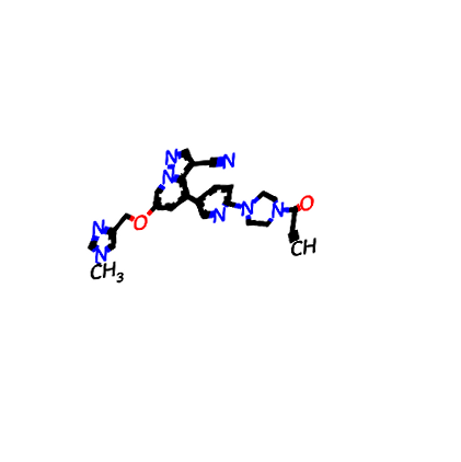 C#CC(=O)N1CCN(c2ccc(-c3cc(OCc4cn(C)cn4)cn4ncc(C#N)c34)cn2)CC1